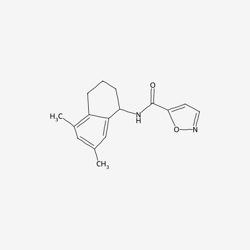 Cc1cc(C)c2c(c1)C(NC(=O)c1ccno1)CCC2